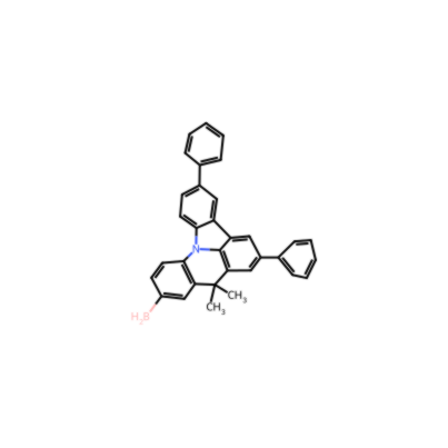 Bc1ccc2c(c1)C(C)(C)c1cc(-c3ccccc3)cc3c4cc(-c5ccccc5)ccc4n-2c13